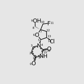 O=c1ccn([C@H]2O[C@@](CO)(CF)C[C@H]2Cl)c(=O)[nH]1